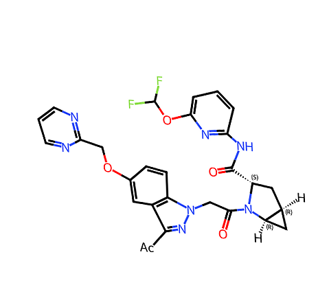 CC(=O)c1nn(CC(=O)N2[C@@H]3C[C@@H]3C[C@H]2C(=O)Nc2cccc(OC(F)F)n2)c2ccc(OCc3ncccn3)cc12